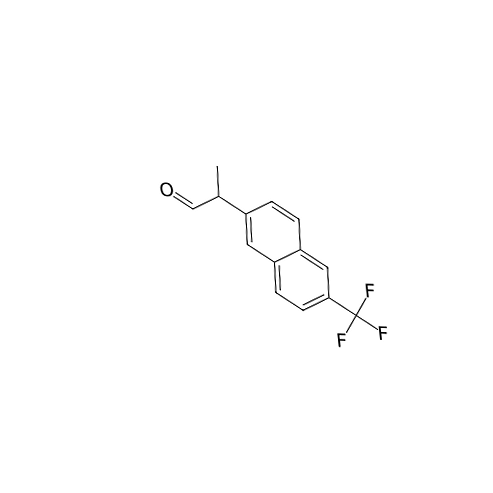 CC(C=O)c1ccc2cc(C(F)(F)F)ccc2c1